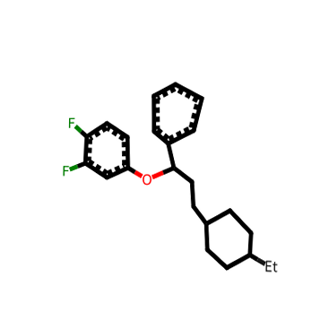 CCC1CCC(CCC(Oc2ccc(F)c(F)c2)c2ccccc2)CC1